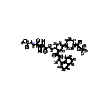 COC(=O)/C=C/C(=O)NNC(=O)CCc1ccc(N2CCCN(C(=O)OC(C)(C)C)CC2)cc1C(=O)NC(C)c1cccc2ccccc12